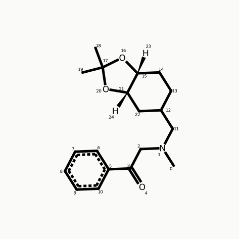 CN(CC(=O)c1ccccc1)CC1CC[C@H]2OC(C)(C)O[C@H]2C1